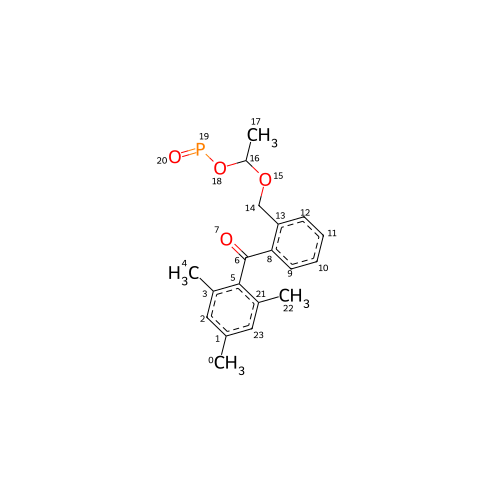 Cc1cc(C)c(C(=O)c2ccccc2COC(C)OP=O)c(C)c1